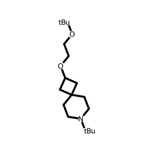 CC(C)(C)OCCOC1CC2(CCN(C(C)(C)C)CC2)C1